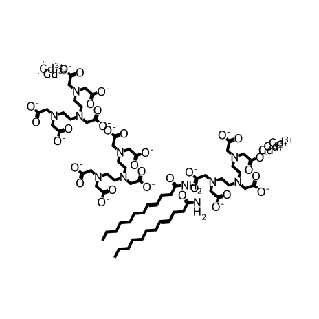 CCCCCCCC=CCCC(N)=O.CCCCCCCC=CCCC(N)=O.O=C([O-])CN(CCN(CC(=O)[O-])CC(=O)[O-])CCN(CC(=O)[O-])CC(=O)[O-].O=C([O-])CN(CCN(CC(=O)[O-])CC(=O)[O-])CCN(CC(=O)[O-])CC(=O)[O-].O=C([O-])CN(CCN(CC(=O)[O-])CC(=O)[O-])CCN(CC(=O)[O-])CC(=O)[O-].[Gd+3].[Gd+3].[Gd+3].[Gd+3].[Gd+3]